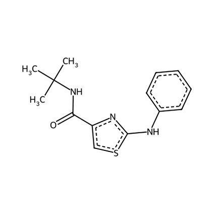 CC(C)(C)NC(=O)c1csc(Nc2ccccc2)n1